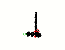 CCCCCCCCCCCCCCCC(=O)OC1=C(C2CCC(c3ccc(Cl)cc3)CC2)C(=O)c2ccccc2C1=O